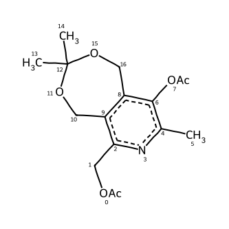 CC(=O)OCc1nc(C)c(OC(C)=O)c2c1COC(C)(C)OC2